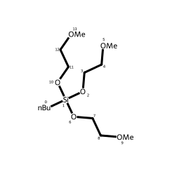 CCCC[Si](OCCOC)(OCCOC)OCCOC